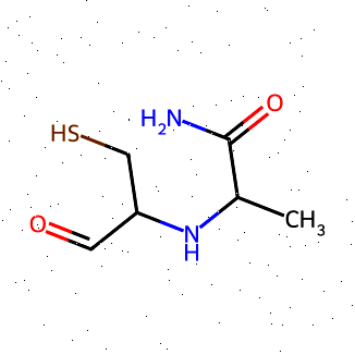 CC(NC(C=O)CS)C(N)=O